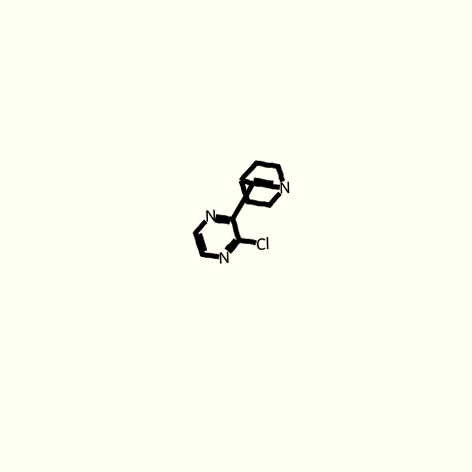 Clc1nccnc1C1=CN2CCC1CC2